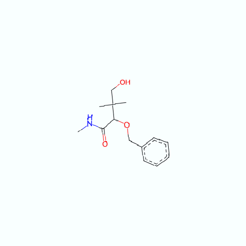 CNC(=O)C(OCc1ccccc1)C(C)(C)CO